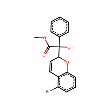 COC(=O)C(O)(c1ccccc1)C1C=Cc2c(Br)cccc2O1